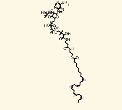 CC/C=C\C/C=C\C/C=C\C/C=C\C/C=C\CCCCCCCC(=O)SCCNC(=O)CCNC(=O)[C@H](O)C(C)(C)COP(=O)(O)OP(=O)(O)OC[C@H]1O[C@@H](n2cnc3c(N)ncnc32)[C@H](O)[C@@H]1OP(=O)(O)O